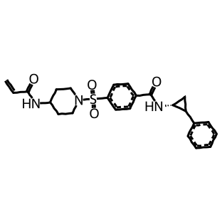 C=CC(=O)NC1CCN(S(=O)(=O)c2ccc(C(=O)N[C@@H]3CC3c3ccccc3)cc2)CC1